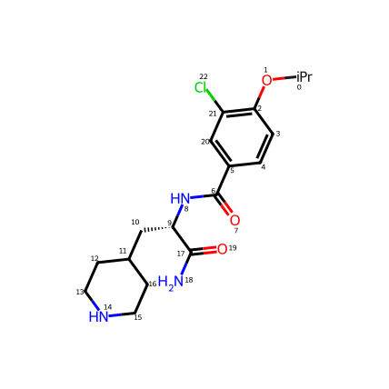 CC(C)Oc1ccc(C(=O)N[C@@H](CC2CCNCC2)C(N)=O)cc1Cl